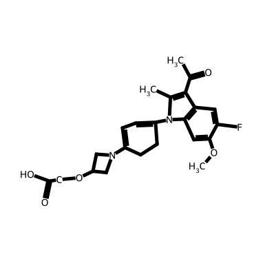 COc1cc2c(cc1F)c(C(C)=O)c(C)n2C1=CC=C(N2CC(OCC(=O)O)C2)CC1